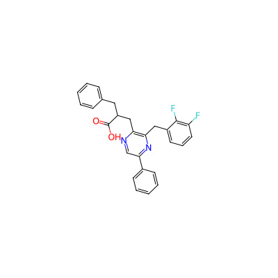 O=C(O)C(Cc1ccccc1)Cc1ncc(-c2ccccc2)nc1Cc1cccc(F)c1F